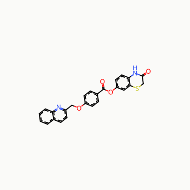 O=C1CSc2cc(OC(=O)c3ccc(OCc4ccc5ccccc5n4)cc3)ccc2N1